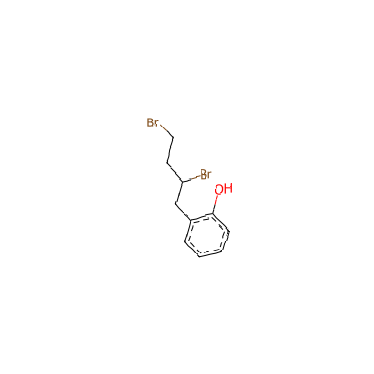 Oc1ccccc1CC(Br)CCBr